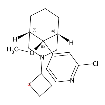 CO[C@]1(c2ccnc(Cl)c2)[C@@H]2CCC[C@H]1CN(C13CC(C1)C3)C2